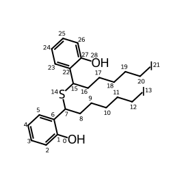 Oc1ccccc1C(CCCCCI)SC(CCCCCI)c1ccccc1O